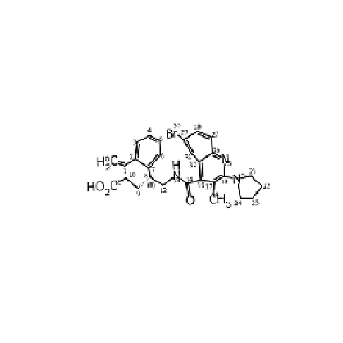 C=Cc1ccccc1[C@@H](CCC(=O)O)CNC(=O)c1c(C)c(N2CCCC2)nc2ccc(Br)cc12